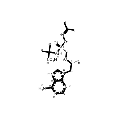 CC(C)=NO[P@@](=O)(CO[C@H](C)Cn1cnc2c(N)ncnc21)[AsH]C(C)(C)C(=O)O